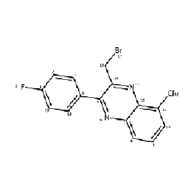 Fc1ccc(-c2nc3cccc(Cl)c3nc2CBr)cc1